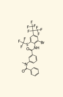 CN(C(=O)c1ccccc1)c1cccc(C(=O)Nc2c(Br)cc(C(F)(C(F)(F)F)C(F)(F)F)cc2SC(F)(F)F)c1